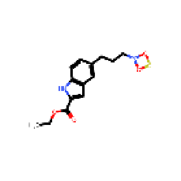 CCOC(=O)c1cc2cc(CCCN3OSO3)ccc2[nH]1